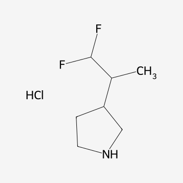 CC(C(F)F)C1CCNC1.Cl